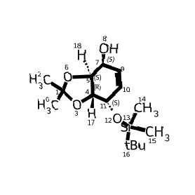 CC1(C)O[C@@H]2[C@@H](O1)[C@@H](O)C=C[C@@H]2O[Si](C)(C)C(C)(C)C